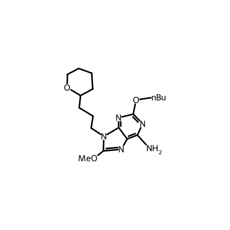 CCCCOc1nc(N)c2nc(OC)n(CCCC3CCCCO3)c2n1